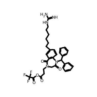 N=C(N)NCCCCCCc1ccc2c(c1)C(=O)N(CCC(=O)OC(=O)C(F)(F)F)CC(=O)N2C(c1ccccc1)c1ccccc1